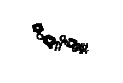 Cc1cc(OC2CCCC2)ccc1NC(=O)N1CCC(NS(=O)(=O)C(C)C)CC1